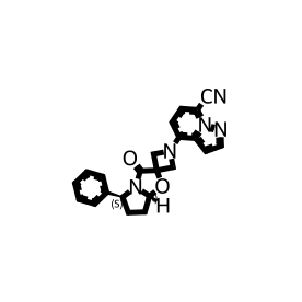 N#Cc1ccc(N2CC3(C2)O[C@@H]2CC[C@@H](c4ccccc4)N2C3=O)c2ccnn12